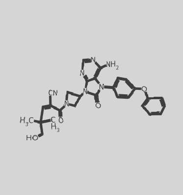 CC(C)(/C=C(/C#N)C(=O)N1CC(n2c(=O)n(-c3ccc(Oc4ccccc4)cc3)c3c(N)ncnc32)C1)CO